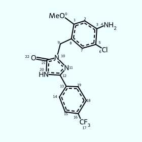 COc1cc(N)c(Cl)cc1Cn1nc(-c2ccc(C(F)(F)F)cc2)[nH]c1=O